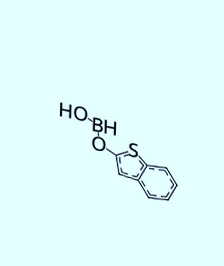 OBOc1cc2ccccc2s1